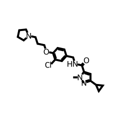 Cn1nc(C2CC2)cc1C(=O)NCc1ccc(OCCCN2CCCC2)c(Cl)c1